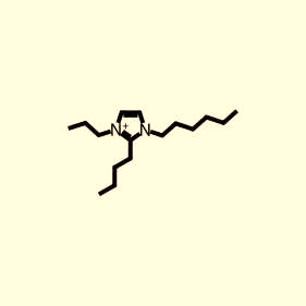 CCCCCCn1cc[n+](CCC)c1CCCC